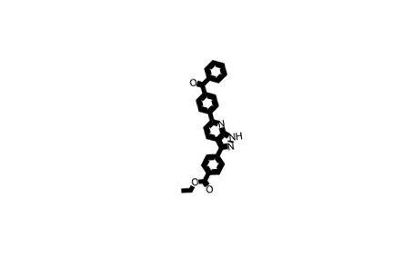 CCOC(=O)c1ccc(-c2n[nH]c3nc(-c4ccc(C(=O)c5ccccc5)cc4)ccc23)cc1